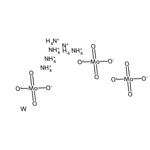 [NH4+].[NH4+].[NH4+].[NH4+].[NH4+].[NH4+].[O]=[Mo](=[O])([O-])[O-].[O]=[Mo](=[O])([O-])[O-].[O]=[Mo](=[O])([O-])[O-].[W]